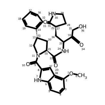 COc1cccc2[nH]c(C(=O)N3C[C@H](c4ccccc4)C[C@H]3C(=O)NC(C[C@@H]3CCNC3=O)C(=O)CO)cc12